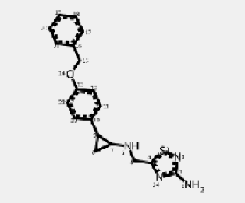 Nc1nsc(CNC2CC2c2ccc(OCc3ccccc3)cc2)n1